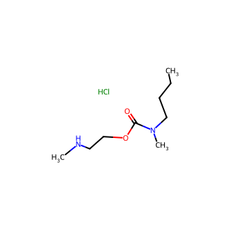 CCCCN(C)C(=O)OCCNC.Cl